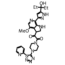 CCC(O)(CC)c1cc(-c2ncc(OC)c3c2NCC3C(=O)C(=O)N2CCN(c3nnnn3-c3ccccn3)CC2)n[nH]1